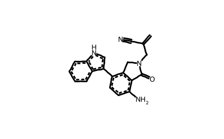 C=C(C#N)CN1Cc2c(-c3c[nH]c4ccccc34)ccc(N)c2C1=O